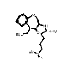 CCCN(CCC)CCCC[C@H](NC1COc2ccccc2N(CC(=O)O)C1=O)C(=O)O